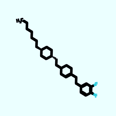 CCCCCCC[C@H]1CC[C@H](CCC2CC=C(CCc3ccc(F)c(F)c3)CC2)CC1